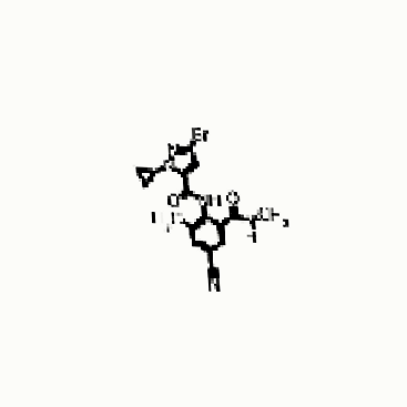 CNC(=O)c1cc(C#N)cc(C)c1NC(=O)c1cc(Br)nn1C1CC1